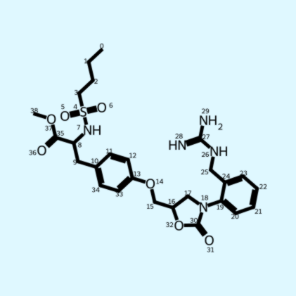 CCCCS(=O)(=O)NC(Cc1ccc(OCC2CN(c3ccccc3CNC(=N)N)C(=O)O2)cc1)C(=O)OC